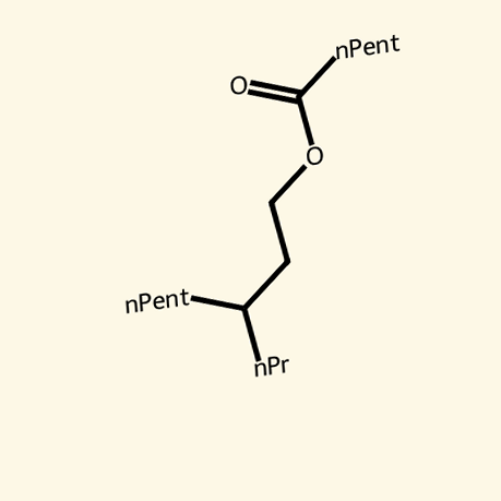 CCCCCC(=O)OCCC(CCC)CCCCC